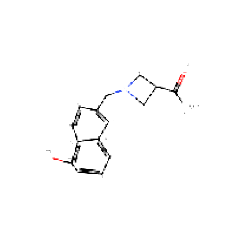 COC(=O)C1CN(Cc2ccc3c(O)cccc3c2)C1